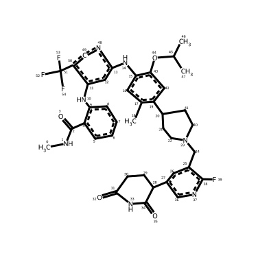 CNC(=O)c1ccccc1Nc1cc(Nc2cc(C)c(C3CCN(Cc4cc(C5CCC(=O)NC5=O)cnc4F)CC3)cc2OC(C)C)ncc1C(F)(F)F